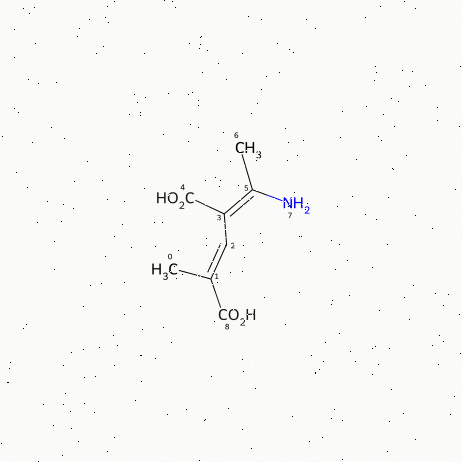 C/C(=C\C(C(=O)O)=C(\C)N)C(=O)O